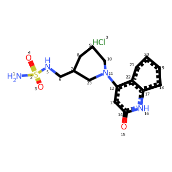 Cl.NS(=O)(=O)NCC1CCCN(c2cc(=O)[nH]c3ccccc23)C1